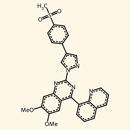 COc1cc2nc(-n3cc(-c4ccc(S(C)(=O)=O)cc4)cn3)nc(-c3cccc4cccnc34)c2cc1OC